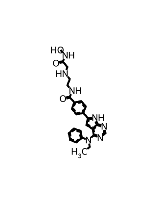 CCN(c1ccccc1)c1ncnc2[nH]c(-c3ccc(C(=O)NCCNCC(=O)NO)cc3)cc12